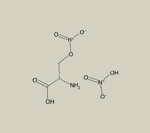 NC(CO[N+](=O)[O-])C(=O)O.O=[N+]([O-])O